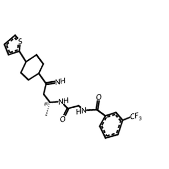 C[C@H](CC(=N)C1CCC(c2cccs2)CC1)NC(=O)CNC(=O)c1cccc(C(F)(F)F)c1